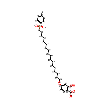 Cc1ccc(S(=O)(=O)CCCCCCCCCCCCCCCCCCOc2ccc(C(=O)O)c(O)c2)cc1